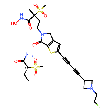 CC(CCN1Cc2cc(C#CC#CC3CN(CCF)C3)sc2C1=O)(C(=O)NO)S(C)(=O)=O.CC[C@H](C(N)=O)S(C)(=O)=O